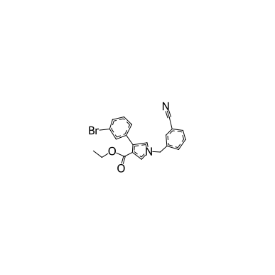 CCOC(=O)c1cn(Cc2cccc(C#N)c2)cc1-c1cccc(Br)c1